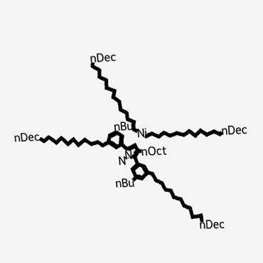 CCCCCCCCCCCCCCCCCCCCCC[CH2][Ni][CH2]CCCCCCCCCCCCCCCCCCCCCC.CCCCCCCCCCCCCCCCCCCCCc1cc(CCCC)cc(C2=CC(CCCCCCCC)=C(c3cc(CCCC)cc(CCCCCCCCCCCCCCCCCCCCC)c3)[N+]2=[N-])c1